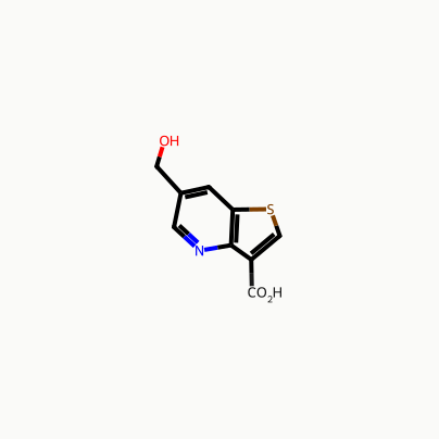 O=C(O)c1csc2cc(CO)cnc12